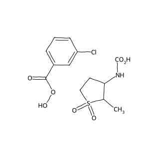 CC1C(NC(=O)O)CCS1(=O)=O.O=C(OO)c1cccc(Cl)c1